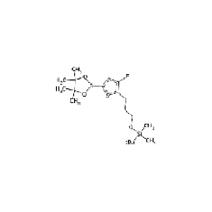 CC1(C)OB(c2cc(F)c(CCCO[Si](C)(C)C(C)(C)C)s2)OC1(C)C